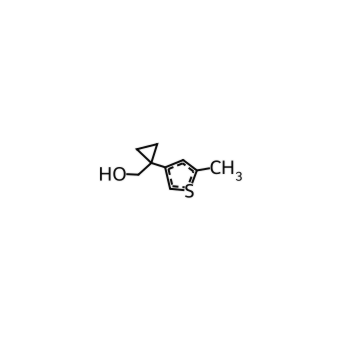 Cc1cc(C2(CO)CC2)cs1